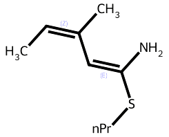 C/C=C(C)\C=C(/N)SCCC